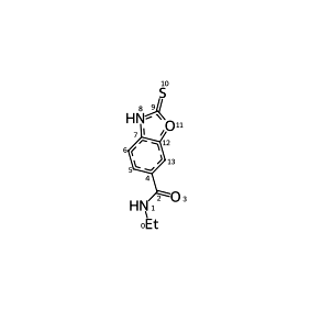 CCNC(=O)c1ccc2[nH]c(=S)oc2c1